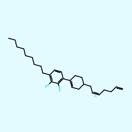 C=CCC/C=C\CC1CC=C(c2ccc(CCCCCCCCC)c(F)c2F)CC1